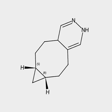 C1=NNC=C2CC[C@@H]3C[C@@H]3CCC12